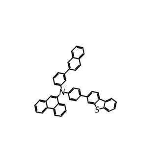 c1cc(-c2ccc3ccccc3c2)cc(N(c2ccc(-c3ccc4c(c3)sc3ccccc34)cc2)c2cc3ccccc3c3ccccc23)c1